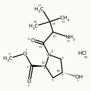 COC(=O)[C@@H]1C[C@@H](O)CN1C(=O)C(N)C(C)(C)C.Cl